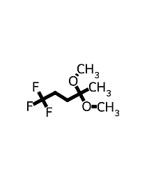 COC(C)(CCC(F)(F)F)OC